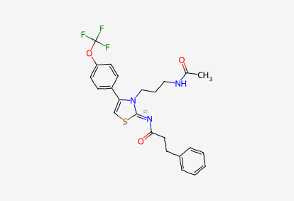 CC(=O)NCCCn1c(-c2ccc(OC(F)(F)F)cc2)cs/c1=N\C(=O)CCc1ccccc1